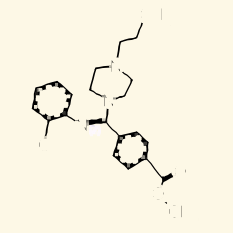 CCCN1CCN(/C(=N\c2ccccc2Cl)c2ccc(C(=O)OC)cc2)CC1